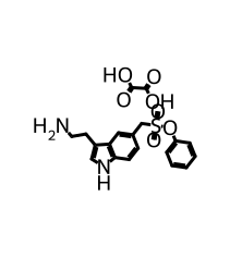 NCCc1c[nH]c2ccc(CS(=O)(=O)Oc3ccccc3)cc12.O=C(O)C(=O)O